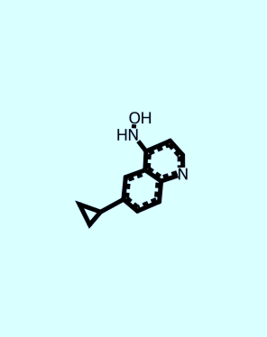 ONc1ccnc2ccc(C3CC3)cc12